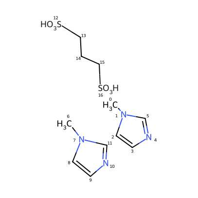 Cn1ccnc1.Cn1ccnc1.O=S(=O)(O)CCCS(=O)(=O)O